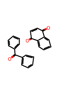 O=C(c1ccccc1)c1ccccc1.O=C1C=CC(=O)c2ccccc21